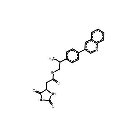 CC(CNC(=O)CC1NC(=O)NC1=O)c1ccc(-c2cnc3ccccc3c2)cc1